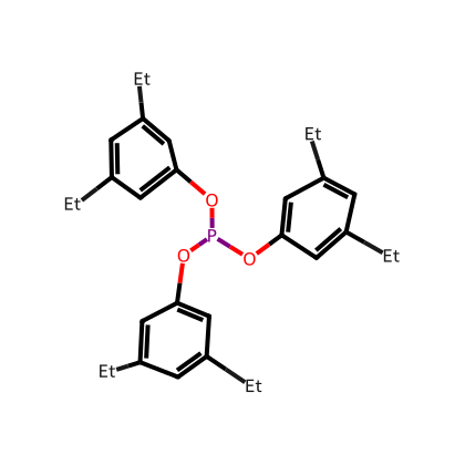 CCc1cc(CC)cc(OP(Oc2cc(CC)cc(CC)c2)Oc2cc(CC)cc(CC)c2)c1